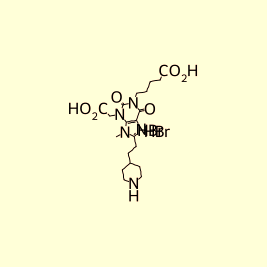 Br.Br.Cn1c(CCC2CCNCC2)nc2c(=O)n(CCCCC(=O)O)c(=O)n(CC(=O)O)c21